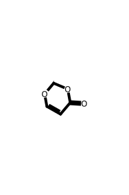 O=C1C=CO[CH]O1